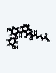 Cc1c(C(=O)NCCCN(C)C)sc2ncnc(Nc3ccc(F)cc3O[C@H]3CCC[C@H](O)C3)c12